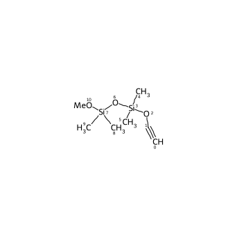 C#CO[Si](C)(C)O[Si](C)(C)OC